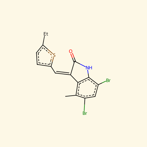 CCc1ccc(C=C2C(=O)Nc3c(Br)cc(Br)c(C)c32)s1